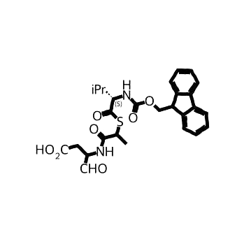 CC(SC(=O)[C@@H](NC(=O)OCC1c2ccccc2-c2ccccc21)C(C)C)C(=O)NC(C=O)CC(=O)O